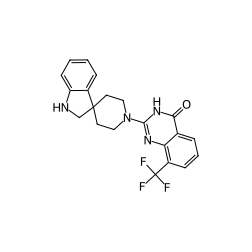 O=c1[nH]c(N2CCC3(CC2)CNc2ccccc23)nc2c(C(F)(F)F)cccc12